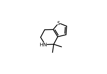 CC1(C)NCCc2sccc21